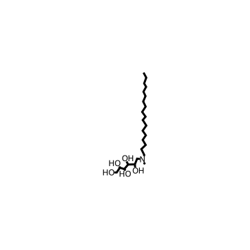 CCCCCCCCCCCCCCCCCCN(C)CC(O)C(O)C(O)C(O)CO